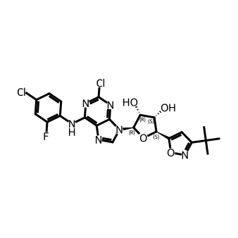 CC(C)(C)c1cc([C@H]2O[C@@H](n3cnc4c(Nc5ccc(Cl)cc5F)nc(Cl)nc43)[C@H](O)[C@@H]2O)on1